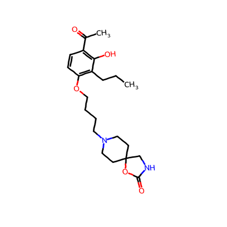 CCCc1c(OCCCCN2CCC3(CC2)CNC(=O)O3)ccc(C(C)=O)c1O